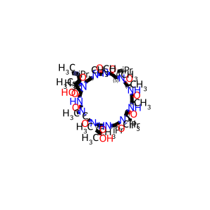 C/C=C/C[C@@H](C)[C@@H](O)C1C(=O)NC(=O)N(C)CC(=O)N(C)[C@@H](CC(C)(C)O)C(=O)N[C@H](C(C)C)C(=O)N(C)[C@H](CC(C)C)C(=O)N[C@H](C)C(=O)N[C@H](C)C(=O)N(C)[C@@H](CC(C)C)C(=O)N(C)C(=O)N(C)[C@@H](C(C)C)C(=O)N1C